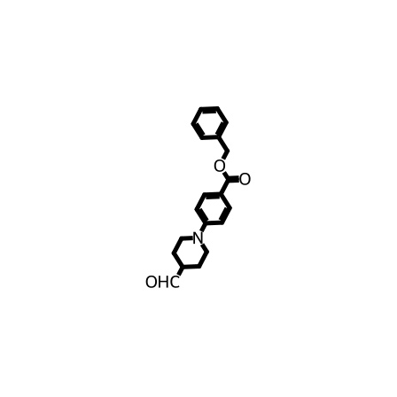 O=CC1CCN(c2ccc(C(=O)OCc3ccccc3)cc2)CC1